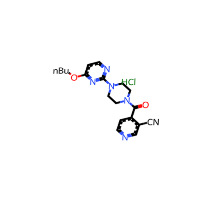 CCCCOc1ccnc(N2CCN(C(=O)c3ccncc3C#N)CC2)n1.Cl